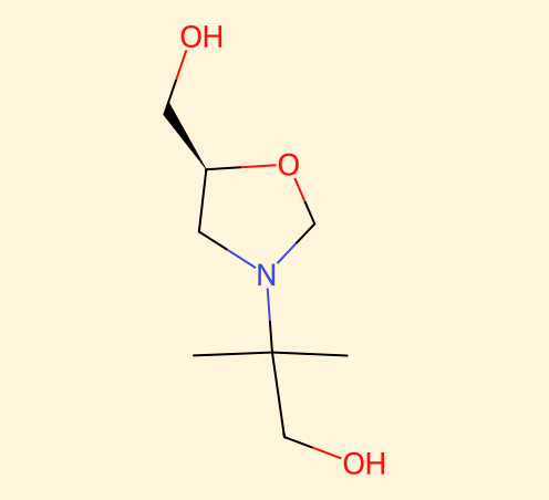 CC(C)(CO)N1CO[C@H](CO)C1